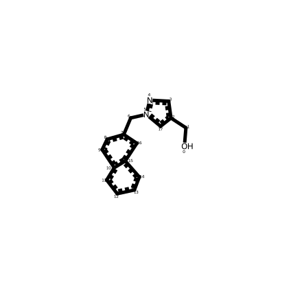 OCc1cnn(Cc2ccc3ccccc3c2)c1